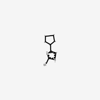 CCc1ncc(C2CCCC2)o1